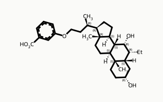 CC[C@H]1[C@@H](O)[C@@H]2[C@H](CC[C@]3(C)[C@@H]([C@H](C)CCOc4cccc(C(=O)O)c4)CC[C@@H]23)[C@@]2(C)CC[C@@H](O)C[C@@H]12